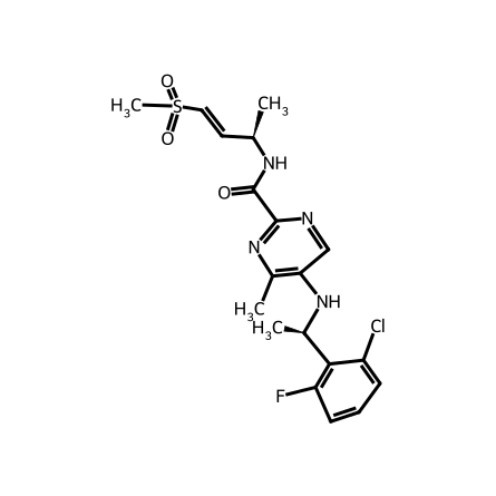 Cc1nc(C(=O)N[C@H](C)/C=C/S(C)(=O)=O)ncc1N[C@H](C)c1c(F)cccc1Cl